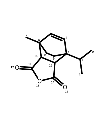 CC(C)C12C=CC(C)(CC1)C1C(=O)OC(=O)C12